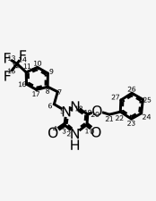 O=c1[nH]c(=O)n(CCc2ccc(C(F)(F)F)cc2)nc1OCc1ccccc1